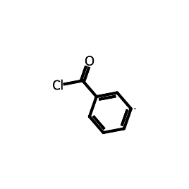 O=C(Cl)c1c[c]ccc1